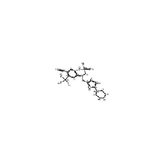 N#Cc1ccc(N(Cc2nnc(N3CCCCC3)o2)CC(F)(F)F)cc1C(F)(F)F